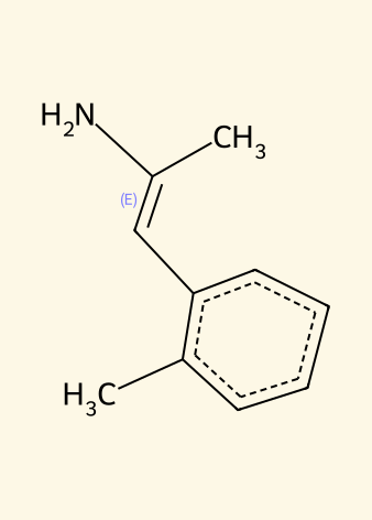 C/C(N)=C\c1ccccc1C